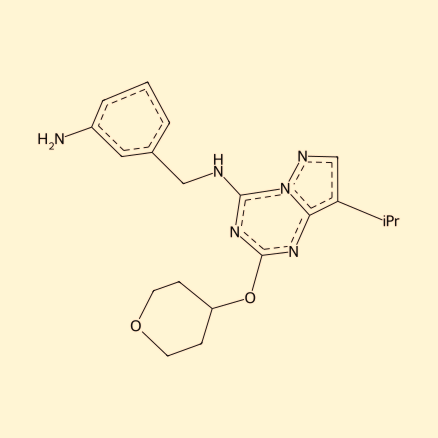 CC(C)c1cnn2c(NCc3cccc(N)c3)nc(OC3CCOCC3)nc12